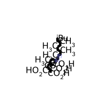 CCC(C)CC(C)CC(C)CC(C)/C=C(C)/C=C(\CC(C)C(=O)OC(C(=O)O)C(C(=O)O)C(=O)O)C(=O)O